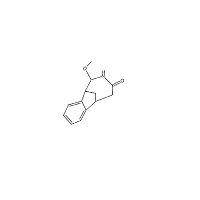 COC1NC(=O)CC2CC1c1ccccc12